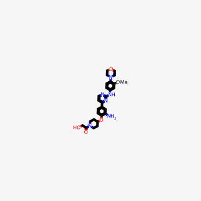 COc1cc(Nc2nccc(-c3ccc(OC4CCN(C(=O)CO)CC4)c(N)c3)n2)ccc1N1CCOCC1